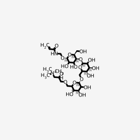 C=CC(=O)NCO[C@@H]1O[C@@H](CO)[C@@H](O[C@@H]2OC(CO[C@H]3OC(COCC(O)C[N+](C)(C)C)[C@H](O)[C@H](O)C3O)[C@@H](O)[C@H](O)C2O)C(O)C1O